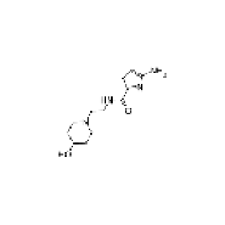 NC1=CCC(C(=O)NCCN2CCC(O)CC2)=N1